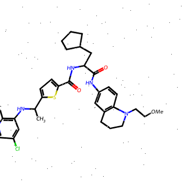 COCCN1CCCc2cc(NC(=O)C(CC3CCCC3)NC(=O)c3ccc(C(C)Nc4cc(Cl)cnc4C)s3)ccc21